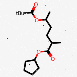 CC(CCC(C)C(=O)OC1CCCC1)OC(=O)C(C)(C)C